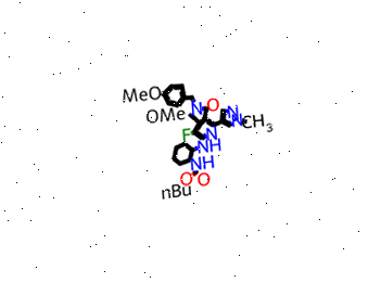 CCCCOC(=O)NC1CCCCC1Nc1nc(-c2cnn(C)c2)c2c(c1F)CN(Cc1ccc(OC)cc1OC)C2=O